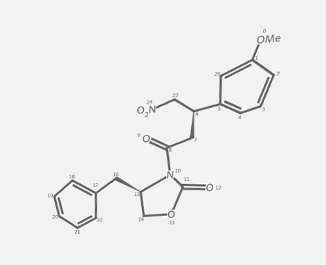 COc1cccc([C@@H](CC(=O)N2C(=O)OC[C@H]2Cc2ccccc2)C[N+](=O)[O-])c1